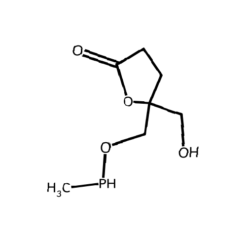 CPOCC1(CO)CCC(=O)O1